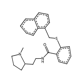 CN1CCCC1CCNC(=O)c1ccccc1SCc1cccc2ccccc12